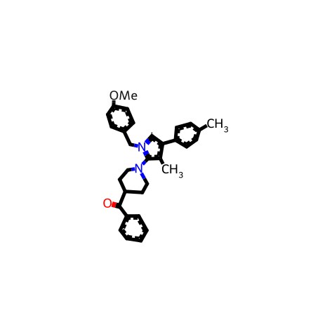 COc1ccc(Cn2[c]c(-c3ccc(C)cc3)c(C)c2N2CCC(C(=O)c3ccccc3)CC2)cc1